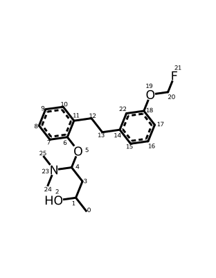 CC(O)CC(Oc1ccccc1CCc1cccc(OCF)c1)N(C)C